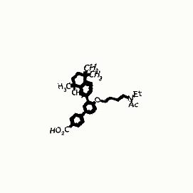 CCN(CCCCOc1ccc(-c2ccc(C(=O)O)cc2)cc1-c1ccc2c(c1)C(C)(C)CCC2(C)C)C(C)=O